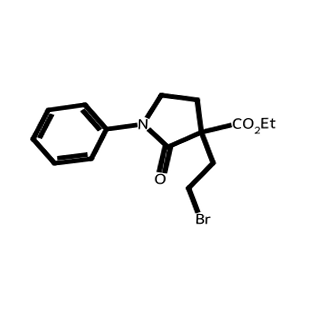 CCOC(=O)C1(CCBr)CCN(c2ccccc2)C1=O